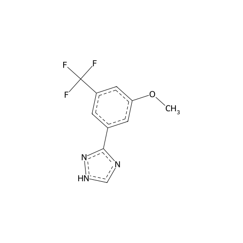 COc1cc(-c2nc[nH]n2)cc(C(F)(F)F)c1